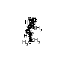 CC(Cc1n[nH]c(=O)c2c1CCCC2)c1cccc(-c2cccc(C(=O)NCCN(C)C)c2)c1